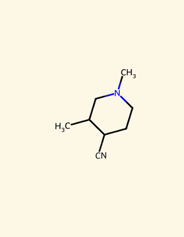 CC1CN(C)CCC1C#N